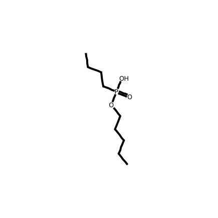 CCCCCOP(=O)(O)CCCC